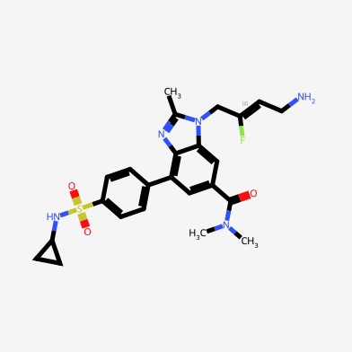 Cc1nc2c(-c3ccc(S(=O)(=O)NC4CC4)cc3)cc(C(=O)N(C)C)cc2n1C/C(F)=C/CN